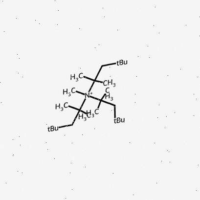 CC(C)(C)CC(C)(C)[N+](C)(C(C)(C)CC(C)(C)C)C(C)(C)CC(C)(C)C